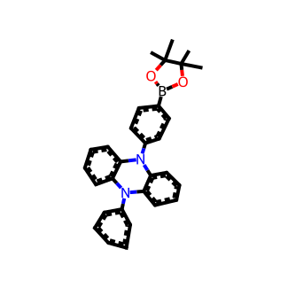 CC1(C)OB(c2ccc(N3c4ccccc4N(c4ccccc4)c4ccccc43)cc2)OC1(C)C